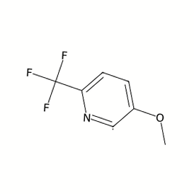 COc1[c]nc(C(F)(F)F)cc1